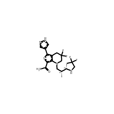 C[C@H](CN1CC(F)(F)Cc2c(-c3cn[nH]c3)sc(C(N)=O)c21)[C@@H]1CC(F)(F)CN1